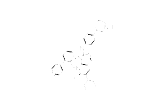 CCC(CC)c1cc2cnc(Nc3ccc(C4CNCCS4)cc3)nc2n(Cc2ncccc2-c2ccncc2)c1=O